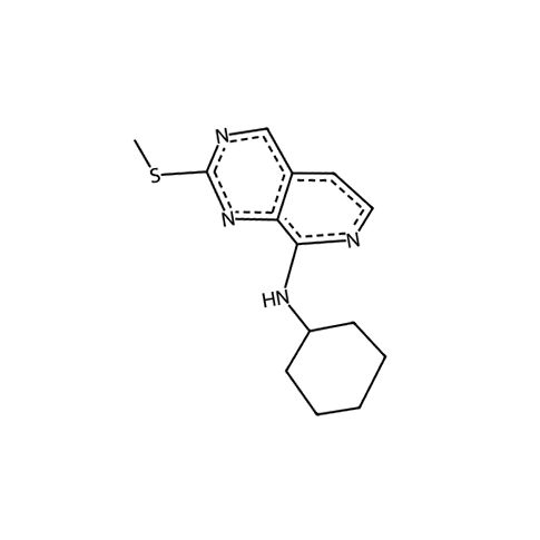 CSc1ncc2ccnc(NC3CCCCC3)c2n1